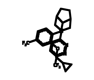 FC(F)(F)c1ccc(OC2C3CCC2CN(c2ccc(C(F)(F)F)nn2)C3)c(OCC2CC2)c1